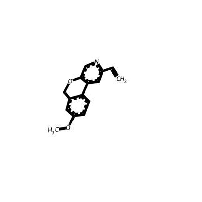 C=Cc1cc2c(cn1)OCc1cc(OC)ccc1-2